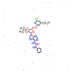 CC1(C)OC2C(COc3cc(C(=O)O)cc(Cl)n3)OC(n3cnc4c(NC(=O)Nc5ccccc5)ncnc43)C2O1